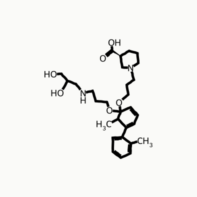 Cc1ccccc1C1=CC=CC(OCCCNCC(O)CO)(OCCCN2CCC[C@H](C(=O)O)C2)C1C